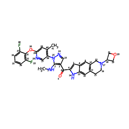 CNc1c(C(=O)c2cc3cc4c(cc3[nH]2)CCN(C2COC2)C4)cnn1-c1cnc(Oc2c(F)cccc2F)cc1C